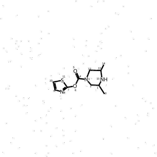 CC1CN(C(=O)Oc2nccs2)CC(C)N1